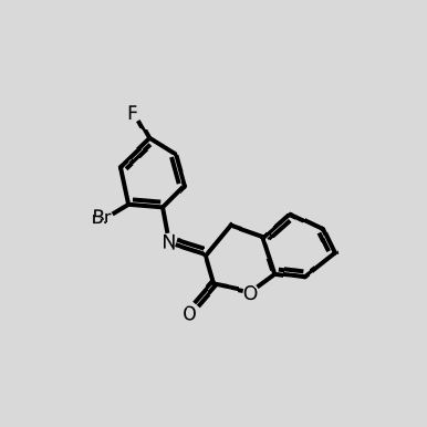 O=C1Oc2ccccc2CC1=Nc1ccc(F)cc1Br